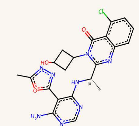 Cc1nnc(-c2c(N)ncnc2N[C@@H](C)c2nc3cccc(Cl)c3c(=O)n2C2CC(O)C2)o1